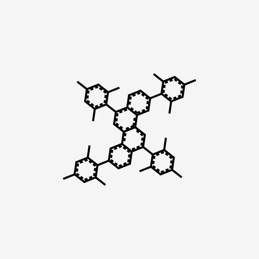 Cc1cc(C)c(-c2ccc3c(-c4c(C)cc(C)cc4C)cc4c5cc(-c6c(C)cc(C)cc6C)ccc5c(-c5c(C)cc(C)cc5C)cc4c3c2)c(C)c1